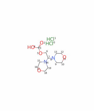 Cl.Cl.O=C(O)OCC(N1CCOCC1)N1CCOCC1